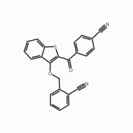 N#Cc1ccc(C(=O)c2sc3ccccc3c2OCc2ccccc2C#N)cc1